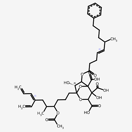 C=C/C=C(\C=C)CC(C)C(CCCC12OC(C(=O)O)C(O)(C(=O)O)C(C(=O)O)(O1)C(OC(=O)CC/C=C/C(C)CCCc1ccccc1)[C@H]2O)OC(C)=O